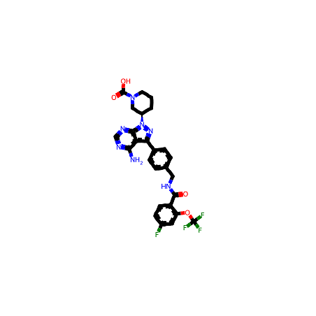 Nc1ncnc2c1c(-c1ccc(CNC(=O)c3ccc(F)cc3OC(F)(F)F)cc1)nn2[C@@H]1CCCN(C(=O)O)C1